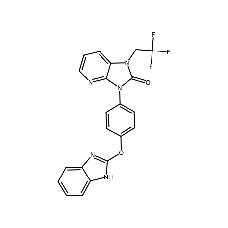 O=c1n(CC(F)(F)F)c2cccnc2n1-c1ccc(Oc2nc3ccccc3[nH]2)cc1